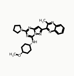 CO[C@H]1CC[C@H](Nc2nc(N3CCCC3)nc3cc(-c4nc5ccccc5nc4C)nn23)CC1